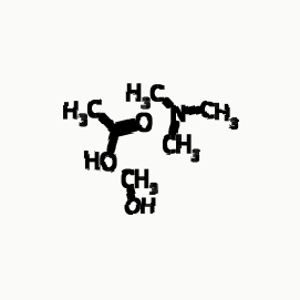 CC(=O)O.CN(C)C.CO